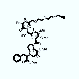 C#CCOCCOCCOCC(=O)N(C)[C@H](C(=O)N[C@H](C(=O)N(C)[C@@H](C(C)CC)[C@@H](CC(=O)N1CCC[C@H]1[C@H](OC)[C@@H](C)CNC(Cc1ccccc1)C(=O)OC)OC)C(C)C)C(C)C